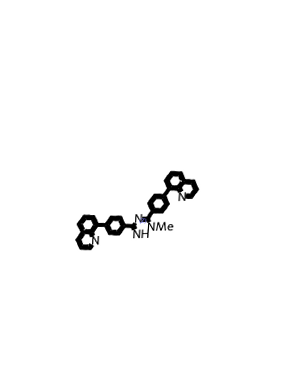 CN/C(=N\C(=N)c1ccc(-c2cccc3cccnc23)cc1)c1ccc(-c2cccc3cccnc23)cc1